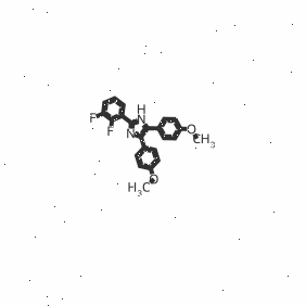 COc1ccc(-c2nc(-c3cccc(F)c3F)[nH]c2-c2ccc(OC)cc2)cc1